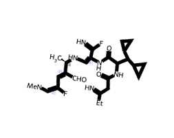 CCC(=N)CC(=O)NC(C(=O)N/C(=C/N[C@@H](C)/C(C=O)=C/C(F)=C\NC)C(=N)F)C(C1CC1)C1CC1